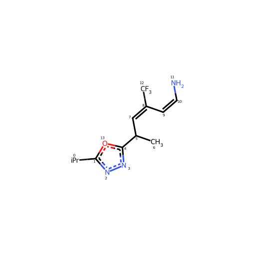 CC(C)c1nnc(C(C)/C=C(\C=C/N)C(F)(F)F)o1